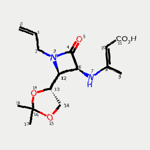 C=CCN1C(=O)[C@@H](NC(C)=CC(=O)O)[C@H]1[C@@H]1COC(C)(C)O1